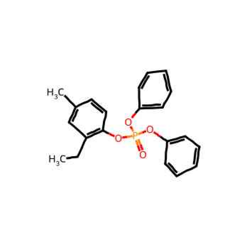 CCc1cc(C)ccc1OP(=O)(Oc1ccccc1)Oc1ccccc1